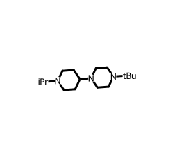 CC(C)N1CCC(N2CCN(C(C)(C)C)CC2)CC1